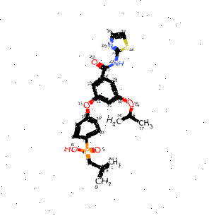 CC(C)CP(=O)(O)c1ccc(Oc2cc(OC(C)C)cc(C(=O)Nc3nccs3)c2)cc1